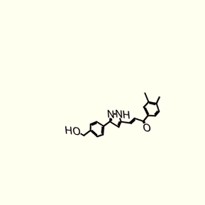 Cc1ccc(C(=O)/C=C/c2cc(-c3ccc(CO)cc3)n[nH]2)cc1C